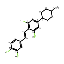 CCCC1CCC(c2cc(F)c(C=Cc3ccc(F)c(F)c3)c(F)c2)CC1